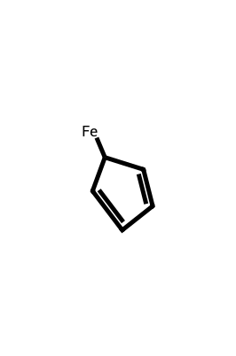 [Fe][CH]1C=CC=C1